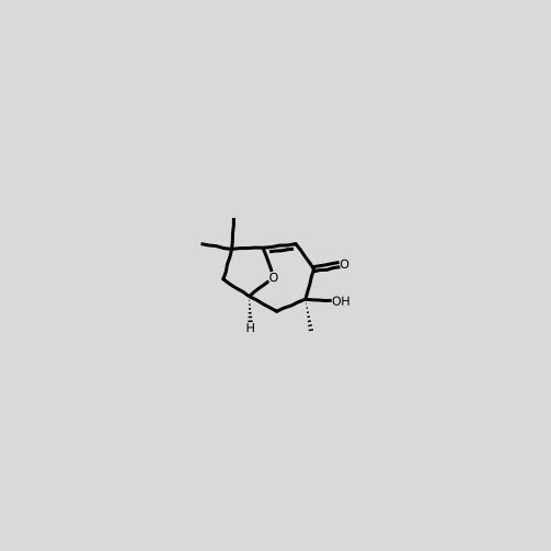 CC1(C)C[C@@H]2C[C@](C)(O)C(=O)C=C1O2